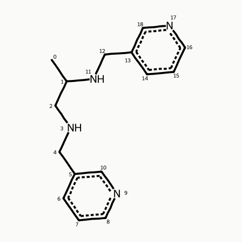 CC(CNCc1cccnc1)NCc1cccnc1